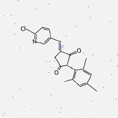 Cc1cc(C)c(C2C(=O)C/C(=C\c3ccc(Cl)nc3)C2=O)c(C)c1